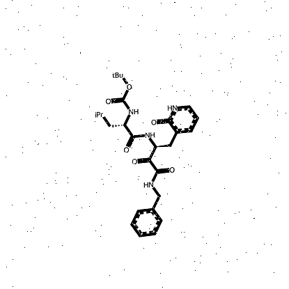 CC(C)C[C@H](NC(=O)OC(C)(C)C)C(=O)N[C@@H](Cc1ccc[nH]c1=O)C(=O)C(=O)NCc1ccccc1